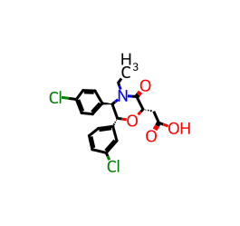 CCN1C(=O)[C@H](CC(=O)O)O[C@H](c2cccc(Cl)c2)[C@H]1c1ccc(Cl)cc1